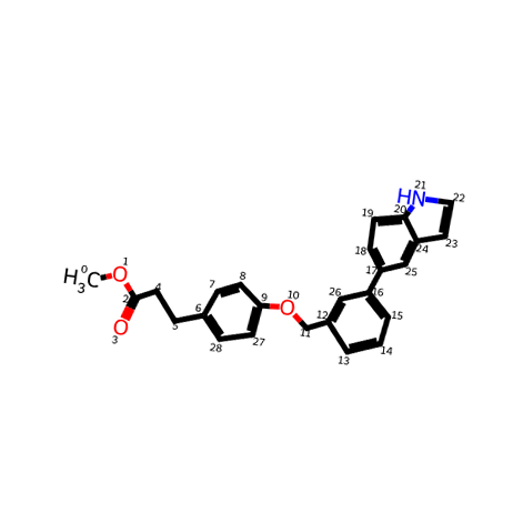 COC(=O)CCc1ccc(OCc2cccc(-c3ccc4[nH]ccc4c3)c2)cc1